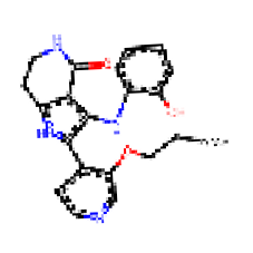 CNCCOc1cnccc1-c1[nH]c2c(c1Nc1ccccc1O)C(=O)NCC2